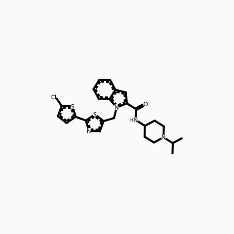 CC(C)N1CCC(NC(=O)c2cc3ccccc3n2Cc2cnc(-c3ccc(Cl)s3)s2)CC1